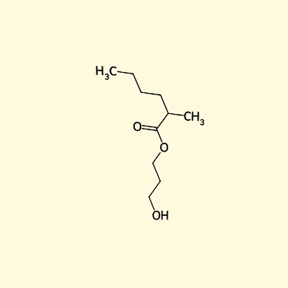 CCCCC(C)C(=O)OCCCO